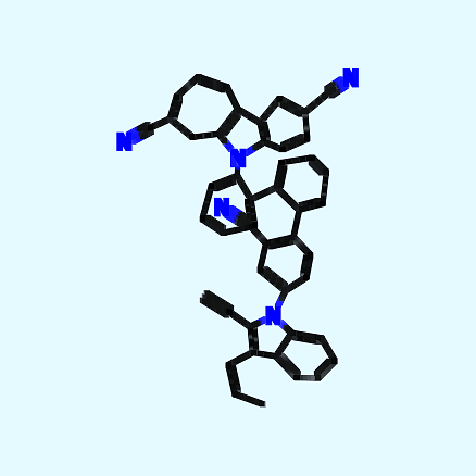 C#Cc1c(/C=C\C)c2ccccc2n1-c1ccc(-c2ccccc2-c2ccccc2-n2c3c(c4cc(C#N)ccc42)C=CC=C(C#N)C3)c(C#N)c1